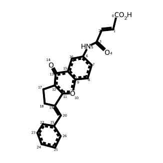 O=C(O)/C=C/C(=O)Nc1ccc2oc3c(c(=O)c2c1)CC/C3=C\c1ccccc1